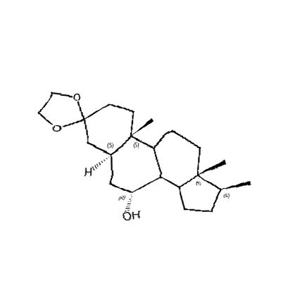 C[C@H]1CCC2C3C(CC[C@@]21C)[C@@]1(C)CCC2(C[C@@H]1C[C@H]3O)OCCO2